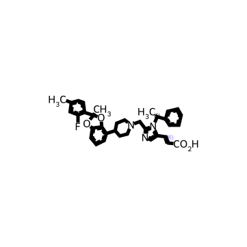 Cc1ccc(C2(C)Oc3cccc(C4CCN(Cc5ncc(/C=C/C(=O)O)n5[C@@H](C)c5ccccc5)CC4)c3O2)c(F)c1